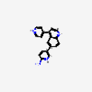 Nc1ccc(-c2ccc3nccc(-c4ccncc4)c3c2)cn1